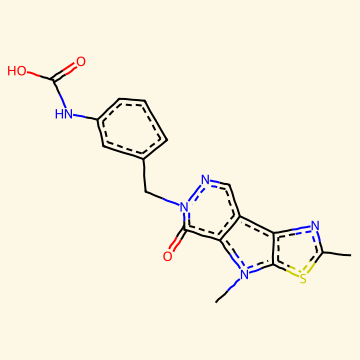 Cc1nc2c3cnn(Cc4cccc(NC(=O)O)c4)c(=O)c3n(C)c2s1